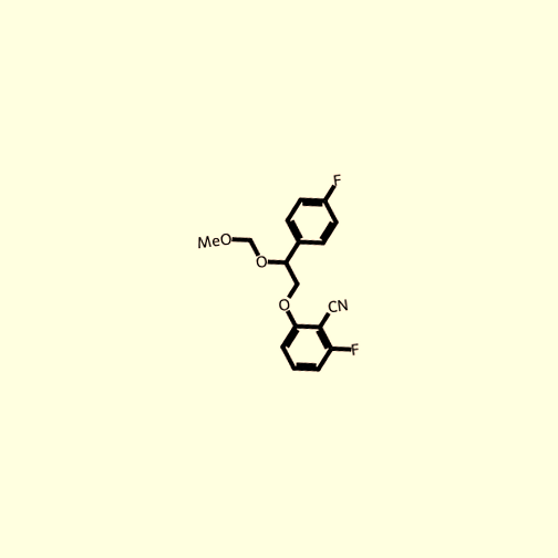 COCOC(COc1cccc(F)c1C#N)c1ccc(F)cc1